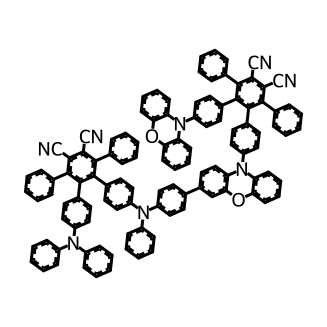 N#Cc1c(C#N)c(-c2ccccc2)c(-c2ccc(N(c3ccccc3)c3ccc(-c4ccc5c(c4)Oc4ccccc4N5c4ccc(-c5c(-c6ccccc6)c(C#N)c(C#N)c(-c6ccccc6)c5-c5ccc(N6c7ccccc7Oc7ccccc76)cc5)cc4)cc3)cc2)c(-c2ccc(N(c3ccccc3)c3ccccc3)cc2)c1-c1ccccc1